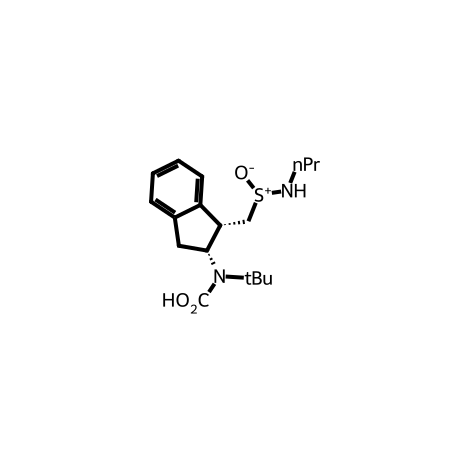 CCCN[S+]([O-])C[C@H]1c2ccccc2C[C@H]1N(C(=O)O)C(C)(C)C